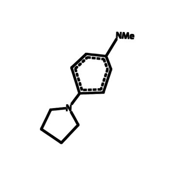 CNc1ccc(N2CCCC2)cc1